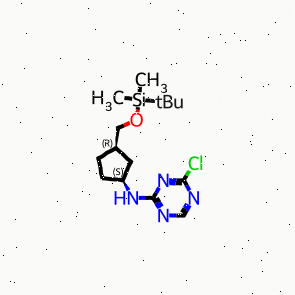 CC(C)(C)[Si](C)(C)OC[C@@H]1CC[C@H](Nc2ncnc(Cl)n2)C1